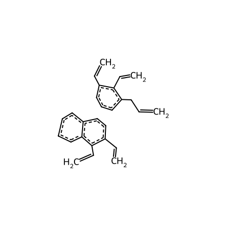 C=CCc1cccc(C=C)c1C=C.C=Cc1ccc2ccccc2c1C=C